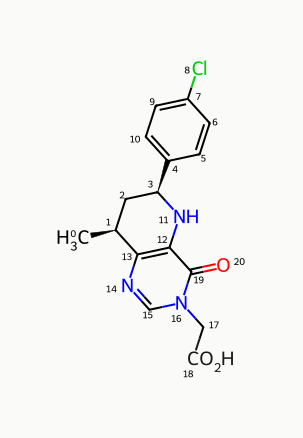 C[C@H]1C[C@@H](c2ccc(Cl)cc2)Nc2c1ncn(CC(=O)O)c2=O